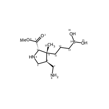 COC(=O)[C@H]1NC[C@H](CN)[C@@]1(C)CCCB(O)O